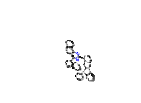 c1ccc(-c2nc(-c3cccc4cc5c(cc34)C(c3ccccc3)(c3ccccc3)c3ccccc3-5)nc3c2ccc2ccccc23)cc1